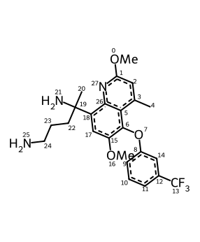 COc1cc(C)c2c(Oc3cccc(C(F)(F)F)c3)c(OC)cc(C(C)(N)CCCN)c2n1